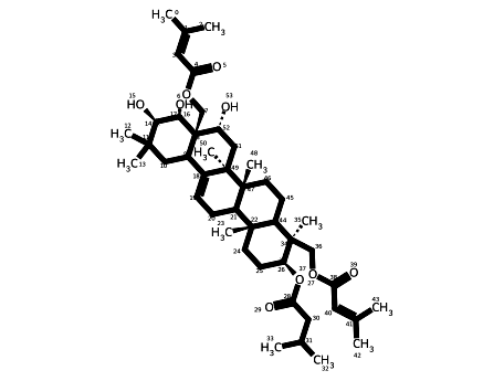 CC(C)=CC(=O)OC[C@@]12C(CC(C)(C)[C@@H](O)[C@@H]1O)C1=CCC3[C@@]4(C)CC[C@H](OC(=O)CC(C)C)[C@](C)(COC(=O)C=C(C)C)C4CC[C@@]3(C)[C@]1(C)C[C@H]2O